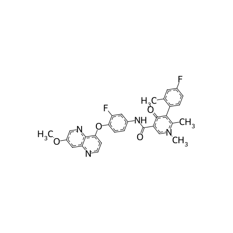 COc1cnc2c(Oc3ccc(NC(=O)c4cn(C)c(C)c(-c5ccc(F)cc5C)c4=O)cc3F)ccnc2c1